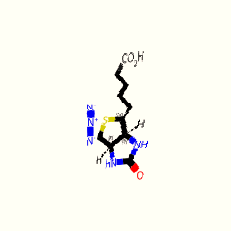 O=C(O)CCCC[C@@H]1SC[C@@H]2NC(=O)N[C@@H]21.[N-]=[N+]=[N-]